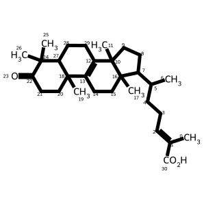 C/C(=C\CCC(C)C1CCC2(C)C3=C(CCC12C)C1(C)CCC(=O)C(C)(C)C1CC3)C(=O)O